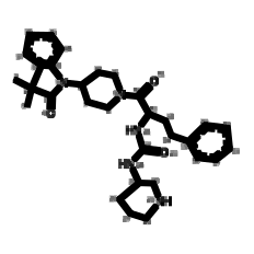 CC1(C)C(=O)N(C2CCN(C(=O)C(CCc3ccccc3)NC(=O)NC3CCCNC3)CC2)c2ccccc21